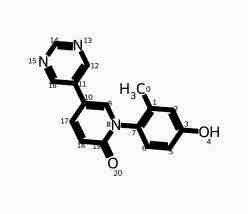 Cc1cc(O)ccc1-n1cc(-c2cncnc2)ccc1=O